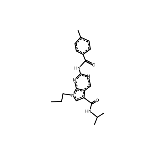 CCCn1cc(C(=O)NC(C)C)c2cnc(NC(=O)c3ccc(C)cc3)nc21